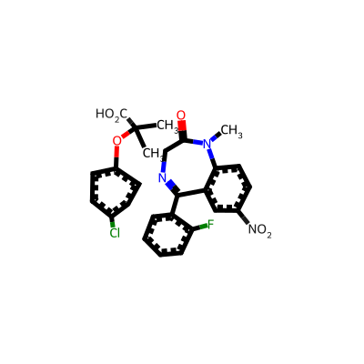 CC(C)(Oc1ccc(Cl)cc1)C(=O)O.CN1C(=O)CN=C(c2ccccc2F)c2cc([N+](=O)[O-])ccc21